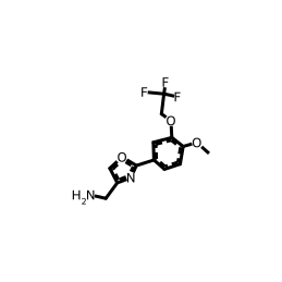 COc1ccc(-c2nc(CN)co2)cc1OCC(F)(F)F